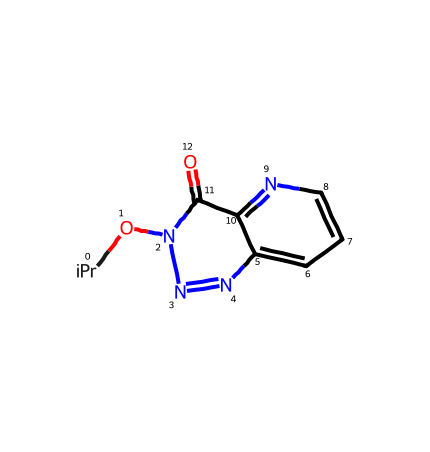 CC(C)On1nnc2cccnc2c1=O